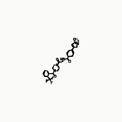 Cn1cc(-c2ccc(C(=O)NCC(=O)N3CCN(C(=O)c4ccccc4C(F)(F)F)CC3)cc2)cn1